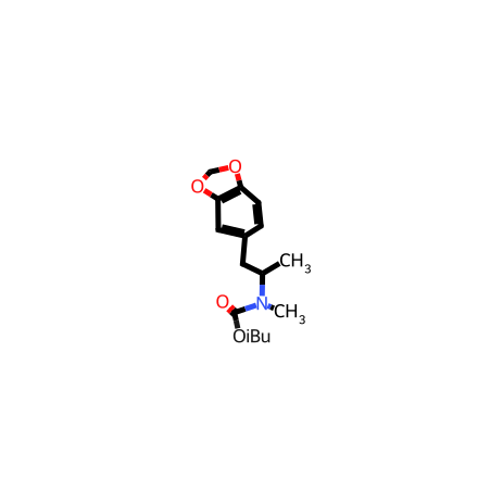 CC(C)COC(=O)N(C)C(C)Cc1ccc2c(c1)OCO2